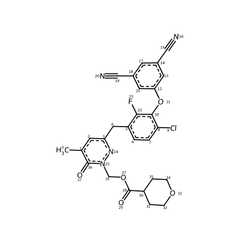 Cc1cc(Cc2ccc(Cl)c(Oc3cc(C#N)cc(C#N)c3)c2F)nn(COC(=O)C2CCOCC2)c1=O